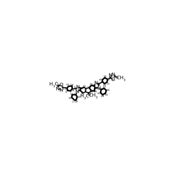 Cc1nnc(-c2ccc(-c3nc4c(n3-c3ccccc3)=CC3C(C=4)c4cc5nc(-c6ccc(-c7nnc(C)o7)cc6)n(-c6ccccc6)c5cc4C3(C)C)cc2)o1